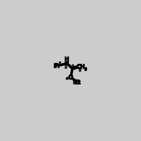 C=C(NC(C)C)OCC